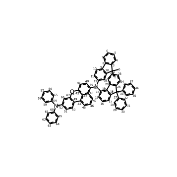 CC1(C)c2ccccc2-c2ccc(N(c3cccc4c3-c3ccccc3C4(c3ccccc3)c3ccccc3)c3ccc4c5c(cccc35)-c3ccc(N(c5ccccc5)c5ccccc5)cc3O4)cc21